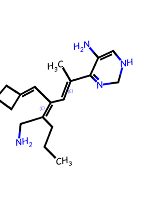 CCC/C(CN)=C(C=C1CCC1)\C=C(/C)C1=NCNC=C1N